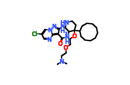 CN(C)CCOCCOC1(C2CCCCCCCCC2)CCNCC1NC(=O)c1c(N)nn2cc(Cl)cnc12